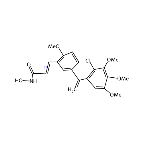 C=C(c1ccc(OC)c(/C=C/C(=O)NO)c1)c1cc(OC)c(OC)c(OC)c1Cl